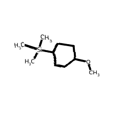 COC1CCC([Si](C)(C)C)CC1